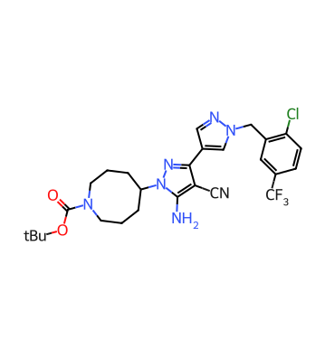 CC(C)(C)OC(=O)N1CCCC(n2nc(-c3cnn(Cc4cc(C(F)(F)F)ccc4Cl)c3)c(C#N)c2N)CCC1